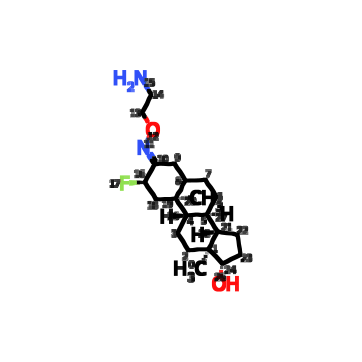 C[C@]12CC[C@H]3[C@@H](CCC4CC(=NOCCN)[C@H](F)C[C@@]43C)[C@@H]1CC[C@@H]2O